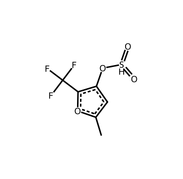 Cc1cc(O[SH](=O)=O)c(C(F)(F)F)o1